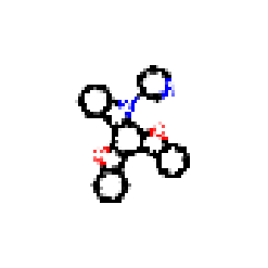 c1cncc(-n2c3ccccc3c3c4oc5ccccc5c4c4c5ccccc5oc4c32)c1